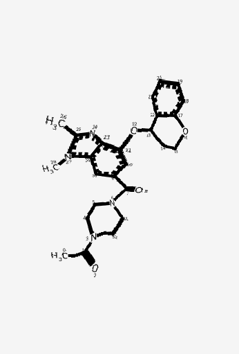 CC(=O)N1CCN(C(=O)c2cc(OC3CCOc4ccccc43)c3nc(C)n(C)c3c2)CC1